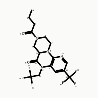 CCCC(=O)N1CCN2c3ncc(C(F)(F)F)cc3N(CC(F)(F)F)C(=O)C2C1